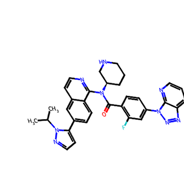 CC(C)n1nccc1-c1ccc2c(N(C(=O)c3ccc(-n4nnc5cccnc54)cc3F)[C@@H]3CCCNC3)nccc2c1